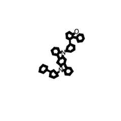 c1ccc(-c2cccc(-n3c4ccccc4c4cc5c(cc43)c3ccccc3n5-c3cccc(-c4cccc5oc6ccccc6c45)c3)c2)cc1